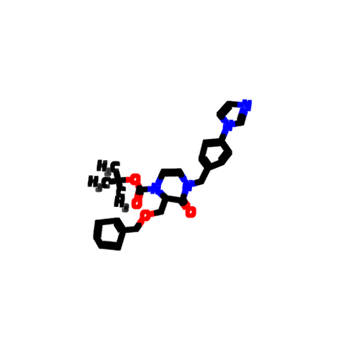 CC(C)(C)OC(=O)N1C=CN(Cc2ccc(-n3ccnc3)cc2)C(=O)C1COCc1ccccc1